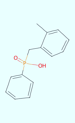 Cc1ccccc1CP(=O)(O)c1ccccc1